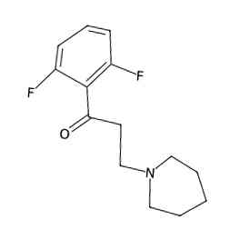 O=C(CCN1CCCCC1)c1c(F)cccc1F